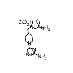 NC(=O)CN(CC1CCN(c2cncc(N)n2)CC1)C(=O)O